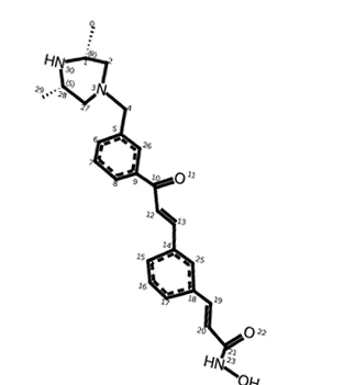 C[C@@H]1CN(Cc2cccc(C(=O)C=Cc3cccc(C=CC(=O)NO)c3)c2)C[C@H](C)N1